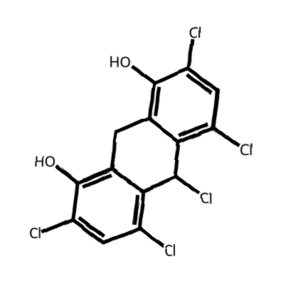 Oc1c(Cl)cc(Cl)c2c1Cc1c(O)c(Cl)cc(Cl)c1C2Cl